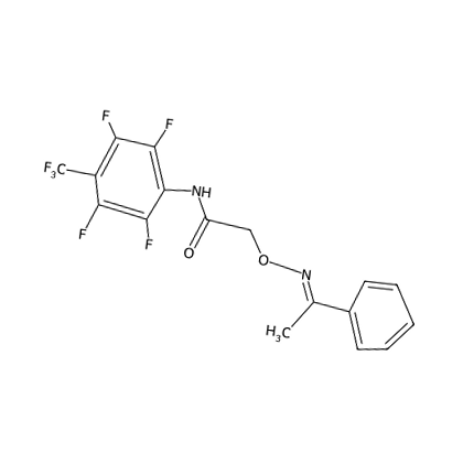 C/C(=N\OCC(=O)Nc1c(F)c(F)c(C(F)(F)F)c(F)c1F)c1ccccc1